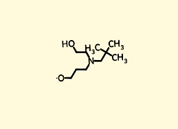 CC(C)(C)CN(CCO)CCC[O]